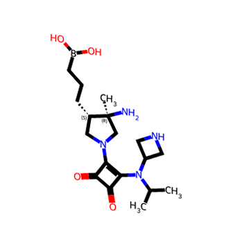 CC(C)N(c1c(N2C[C@H](CCCB(O)O)[C@@](C)(N)C2)c(=O)c1=O)C1CNC1